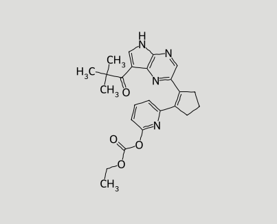 CCOC(=O)Oc1cccc(C2=C(c3cnc4[nH]cc(C(=O)C(C)(C)C)c4n3)CCC2)n1